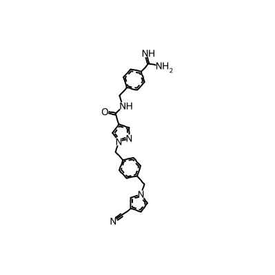 N#Cc1ccn(Cc2ccc(Cn3cc(C(=O)NCc4ccc(C(=N)N)cc4)cn3)cc2)c1